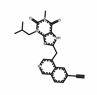 C#Cc1ccc2cncc(Cc3nc4c([nH]3)c(=O)n(C)c(=O)n4CC(C)C)c2c1